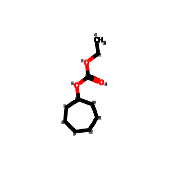 C[CH]OC(=O)OC1CCCCCC1